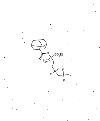 CCOC(=O)C(OCC(F)(F)CC(C)(F)F)(OC(=O)C12CC3CC(CC(C3)C1)C2)C(F)(F)F